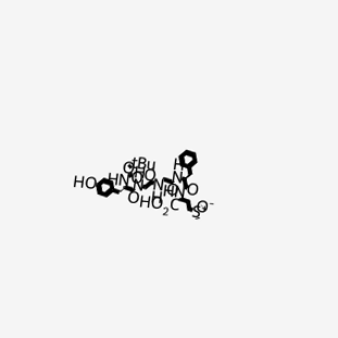 C[S+]([O-])CC[C@H](NC(=O)[C@H](Cc1ccccc1)NC(=O)CNC(=O)CNC(=O)[C@H](Cc1ccc(O)cc1)NC(=O)OC(C)(C)C)C(=O)O